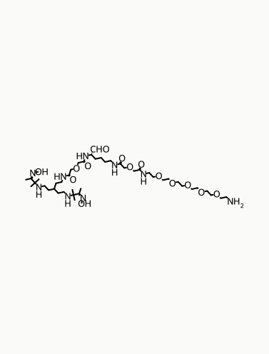 C/C(=N/O)C(C)(C)NCCC(CCNC(=O)COCC(=O)N[C@H](C=O)CCCCNC(=O)COCC(=O)NCCOCCOCCOCCOCCOCCN)CCNC(C)(C)/C(C)=N\O